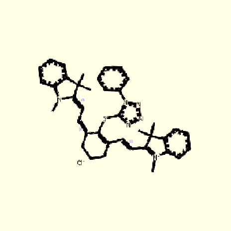 CN1/C(=C\C=C2\CCCC(/C=C/C3=[N+](C)c4ccccc4C3(C)C)=C2Sc2nnnn2-c2ccccc2)C(C)(C)c2ccccc21.[Cl-]